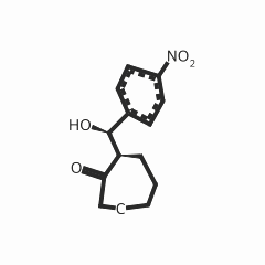 O=C1CCCCC[C@@H]1[C@@H](O)c1ccc([N+](=O)[O-])cc1